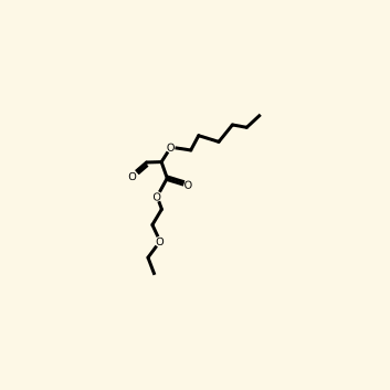 CCCCCCOC(C=O)C(=O)OCCOCC